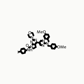 COc1ccc(CN(Cc2ccc(OC)cc2)c2ncc(-c3nc(N4CCOCC4)nc4c3CCN4C(=O)Nc3ccc(I)cc3)cn2)cc1